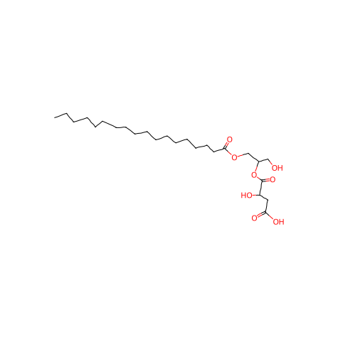 CCCCCCCCCCCCCCCCCC(=O)OCC(CO)OC(=O)C(O)CC(=O)O